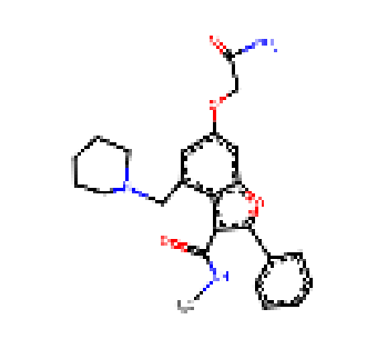 CNC(=O)c1c(-c2ccccc2)oc2cc(OCC(N)=O)cc(CN3CCCCC3)c12